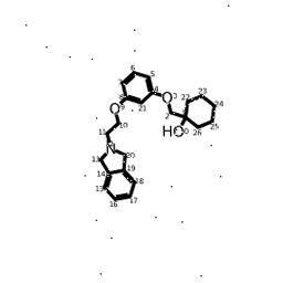 OC1(COc2cccc(OCCN3Cc4ccccc4C3)c2)CCCCC1